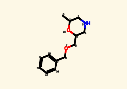 CC1CNCC(COCc2ccccc2)O1